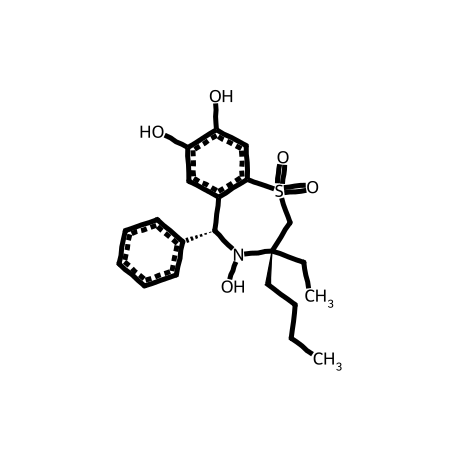 CCCC[C@]1(CC)CS(=O)(=O)c2cc(O)c(O)cc2[C@@H](c2ccccc2)N1O